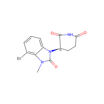 CCc1cccc2c1n(C)c(=O)n2[C@@H]1CCC(=O)NC1=O